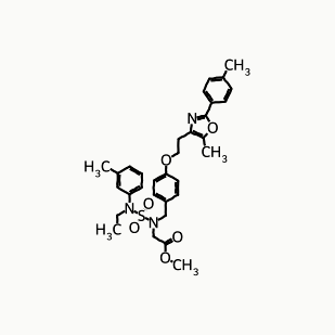 CCN(c1cccc(C)c1)S(=O)(=O)N(CC(=O)OC)Cc1ccc(OCCc2nc(-c3ccc(C)cc3)oc2C)cc1